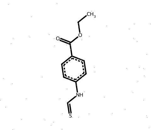 CCOC(=O)c1ccc(NC=S)cc1